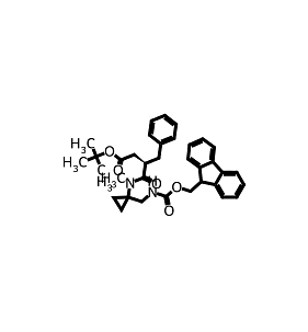 CN(C(=O)[C@@H](CC(=O)OC(C)(C)C)Cc1ccccc1)C1(CNC(=O)OCC2c3ccccc3-c3ccccc32)CC1